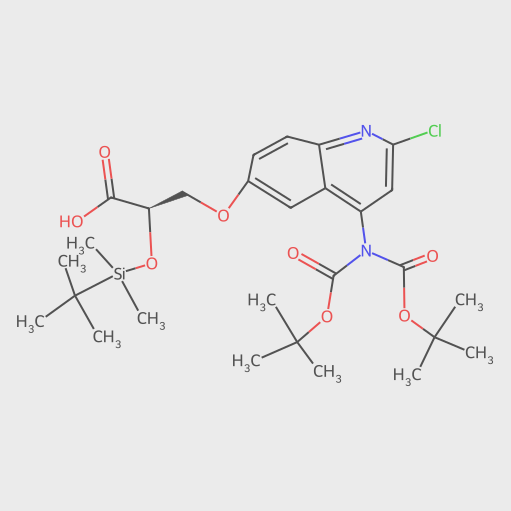 CC(C)(C)OC(=O)N(C(=O)OC(C)(C)C)c1cc(Cl)nc2ccc(OC[C@@H](O[Si](C)(C)C(C)(C)C)C(=O)O)cc12